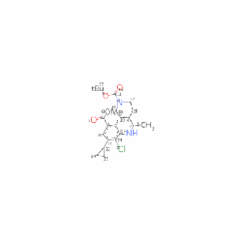 COC(=O)c1cc(NC(C)C2CCN(C(=O)OC(C)(C)C)CC2)c(Cl)c(C2CC2)c1